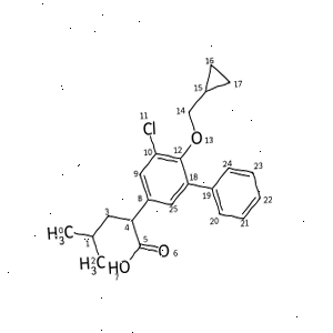 CC(C)CC(C(=O)O)c1cc(Cl)c(OCC2CC2)c(-c2ccccc2)c1